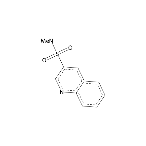 [CH2]NS(=O)(=O)c1cnc2ccccc2c1